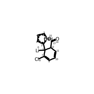 [Li][C]1(c2ccc[nH]2)C(Cl)=CC=CC1C(=O)O